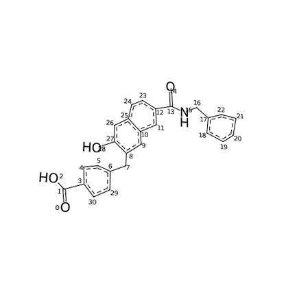 O=C(O)c1ccc(Cc2cc3cc(C(=O)NCc4ccccc4)ccc3cc2O)cc1